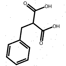 O=C(O)C(Cc1ccccc1)C(=O)O